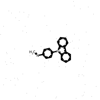 C=Nc1ccc(-n2c3ccccc3c3ccccc32)cc1